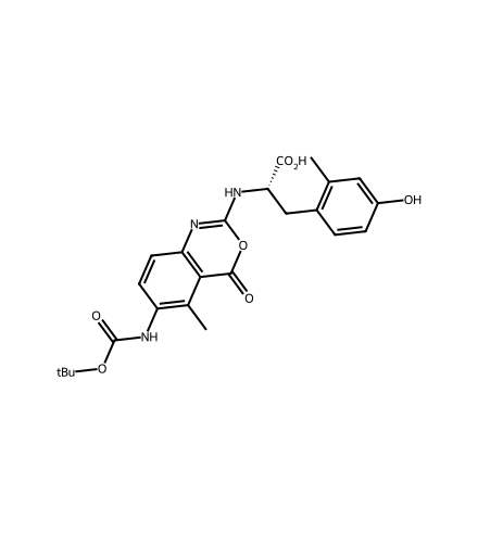 Cc1cc(O)ccc1C[C@H](Nc1nc2ccc(NC(=O)OC(C)(C)C)c(C)c2c(=O)o1)C(=O)O